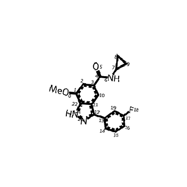 COc1cc(C(=O)NC2CC2)cc2c(-c3cccc(F)c3)n[nH]c12